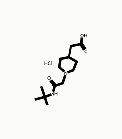 CC(C)(C)NC(=O)CN1CCC(CC(=O)O)CC1.Cl